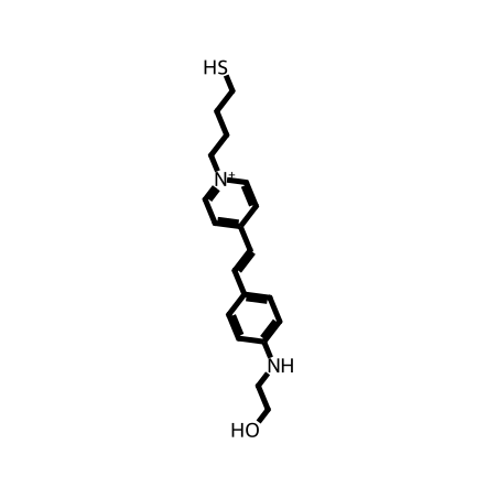 OCCNc1ccc(/C=C/c2cc[n+](CCCCS)cc2)cc1